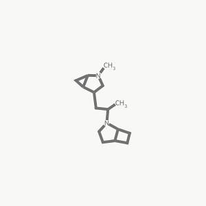 CC(CC1CN(C)C2CC12)N1CCC2CCC21